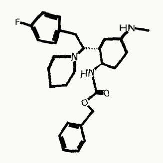 CNC1CC[C@@H](NC(=O)OCc2ccccc2)[C@H](C(Cc2ccc(F)cc2)N2CCCCC2)C1